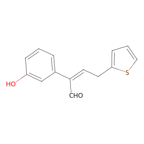 O=CC(=CCc1cccs1)c1cccc(O)c1